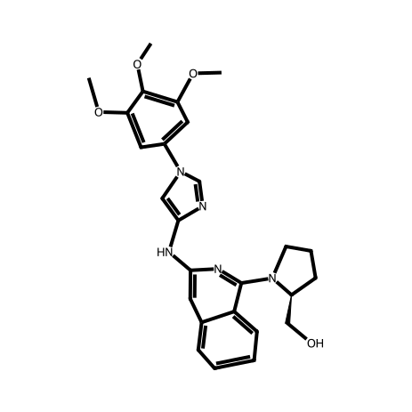 COc1cc(-n2cnc(Nc3cc4ccccc4c(N4CCC[C@H]4CO)n3)c2)cc(OC)c1OC